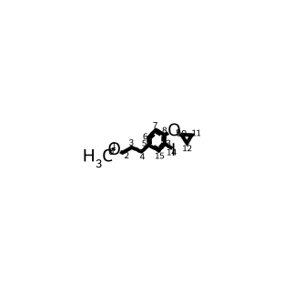 COCCCc1ccc(OC2CC2)c(I)c1